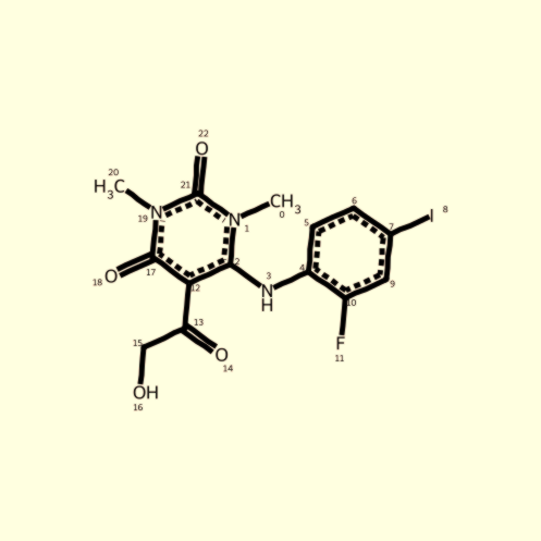 Cn1c(Nc2ccc(I)cc2F)c(C(=O)CO)c(=O)n(C)c1=O